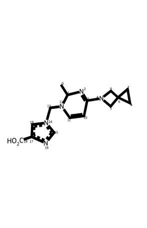 CC1N=C(N2CC3(CC3)C2)C=CN1Cn1cnc(C(=O)O)c1